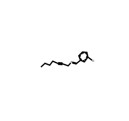 CCCCC#CCN=Cc1cccc(Cl)c1